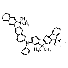 CC1(C)c2ccccc2-c2cc3c(cc21)C(C)(C)c1cc(N(c2ccccc2)c2ccc4cc5c(cc4c2)C(C)(C)c2cc4ccccc4cc2-5)ccc1-3